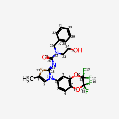 Cc1cn(-c2ccc3c(c2)OC(F)(F)C(F)(F)O3)/c(=N/C(=O)N(CCO)Cc2ccccc2)s1